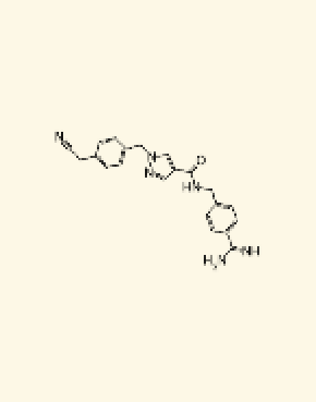 N#CCc1ccc(Cn2cc(C(=O)NCc3ccc(C(=N)N)cc3)cn2)cc1